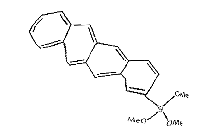 CO[Si](OC)(OC)c1ccc2cc3cc4ccccc4cc3cc2c1